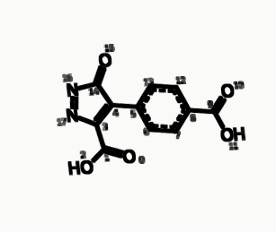 O=C(O)C1=C(c2ccc(C(=O)O)cc2)C(=O)N=N1